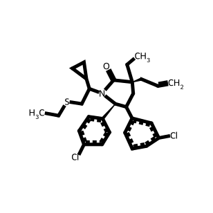 C=CC[C@@]1(CC)CC(c2cccc(Cl)c2)[C@@H](c2ccc(Cl)cc2)N(C(CSCC)C2CC2)C1=O